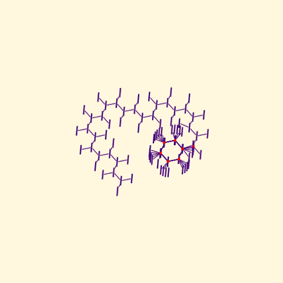 II(I)I(I)I(I)I(I)I(I)I(I)I(I)I(I)I(I)I(I)I(I)I(I)I(I)I(I)I(I)I(I)I(I)I(I)I(I)I(I)I(I)I(I)I(I)I(I)I(I)I(I)I(I)I(I)I(I)I(I)I(I)I(I)I(I)I(I)I(I)I(I)I(I)I(I)I(I)I(I)I(I)I(I)I(I)I(I)I(I)I(I)I(I)I(I)I(I)I(I)I(I)I(I)I